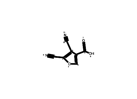 N#Cc1occ(C(=O)O)c1C#N